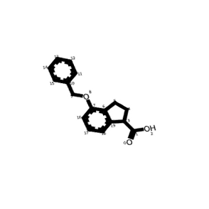 O=C(O)C1CCc2c(OCc3ccccc3)cccc21